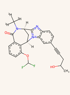 [2H]C([2H])([2H])N1C(=O)c2cccc(OC(F)F)c2[C@H]2C[C@@H]1c1nc3ccc(C#CCC(C)O)cc3n12